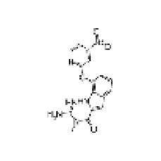 CN(C(=N)N)C(=O)c1cc2cccc(Oc3cc([N+](=O)[O-])ccn3)c2[nH]1